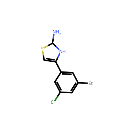 CCc1cc(Cl)cc(C2=CSC(N)N2)c1